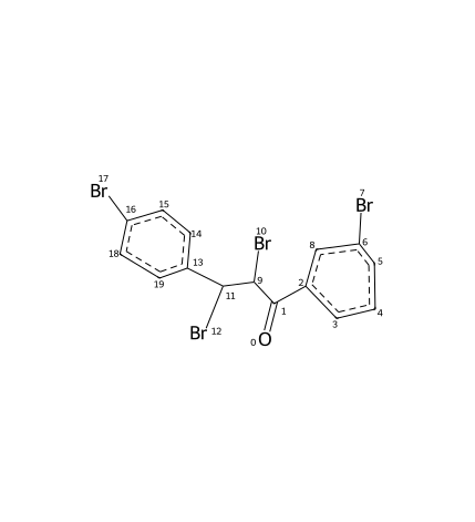 O=C(c1cccc(Br)c1)C(Br)C(Br)c1ccc(Br)cc1